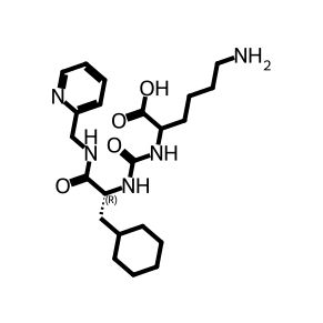 NCCCCC(NC(=O)N[C@H](CC1CCCCC1)C(=O)NCc1ccccn1)C(=O)O